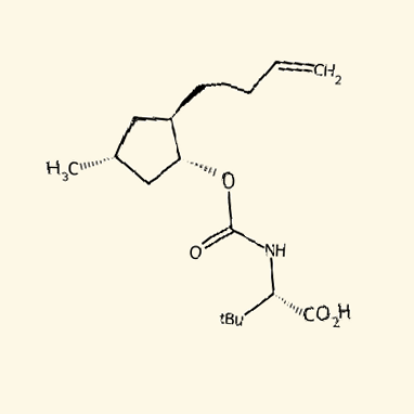 C=CCC[C@@H]1C[C@@H](C)C[C@H]1OC(=O)N[C@H](C(=O)O)C(C)(C)C